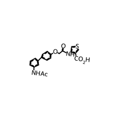 CC(=O)Nc1cccc(-c2ccc(OCC(=O)Nc3cscc3C(=O)O)cc2)c1